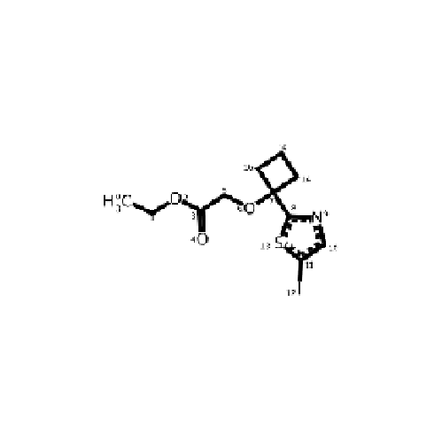 CCOC(=O)COC1(c2ncc(I)s2)CCC1